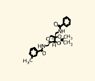 Cc1cccc(C(=O)NC[C@H]2OC[C@]3(CNC(=O)c4ccccc4)OC(C)(C)O[C@H]23)c1